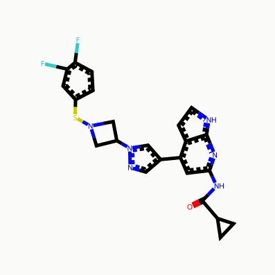 O=C(Nc1cc(-c2cnn(C3CN(Sc4ccc(F)c(F)c4)C3)c2)c2cc[nH]c2n1)C1CC1